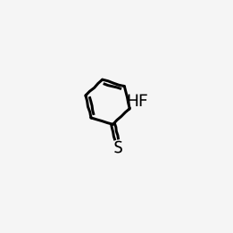 F.S=C1C=CC=CC1